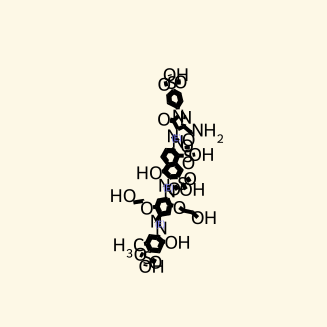 Cc1cc(/N=N/c2cc(OCCO)c(/N=N/c3c(S(=O)(=O)O)cc4c(S(=O)(=O)O)c(/N=N/C5C(=O)N(c6ccc(S(=O)(=O)O)cc6)N=C5C(N)=O)ccc4c3O)cc2OCCO)c(O)cc1S(=O)(=O)O